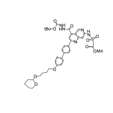 COC(=O)CS(=O)(=O)Nc1cc2nc(-c3ccc(-c4ccc(OCCCCOC5CCCCO5)cc4)cc3)cc(C(=O)NNC(=O)OC(C)(C)C)c2cn1